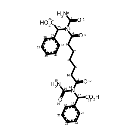 NC(=O)N(C(=O)CCCCCC(=O)N(C(N)=O)C(C(=O)O)c1ccccc1)C(C(=O)O)c1ccccc1